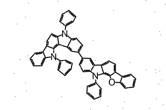 c1ccc(-n2c3ccc(-c4ccc5c(c4)c4ccc6c7ccccc7oc6c4n5-c4ccccc4)cc3c3c2ccc2c4ccccc4n(-c4ccccc4)c23)cc1